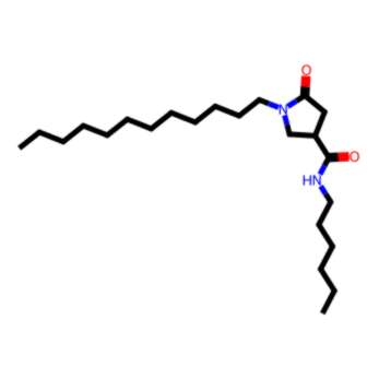 CCCCCCCCCCCCN1CC(C(=O)NCCCCCC)CC1=O